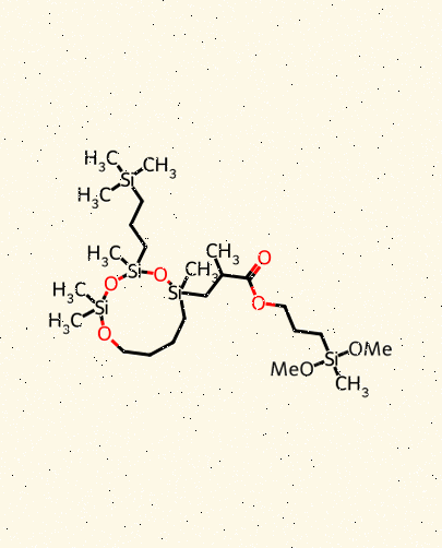 CO[Si](C)(CCCOC(=O)C(C)C[Si]1(C)CCCCO[Si](C)(C)O[Si](C)(CCC[Si](C)(C)C)O1)OC